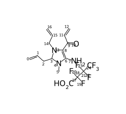 C=CCC1N(C)C(N)=C(C(=O)C=C)N1CC=C.O=C(O)C(F)(F)C(F)(F)C(F)(F)F